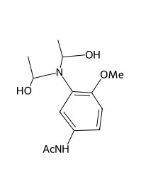 COc1ccc(NC(C)=O)cc1N(C(C)O)C(C)O